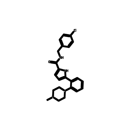 CN1CCN(c2ccccc2-c2ccc(C(=O)NCc3ccc(Cl)cc3)[nH]2)CC1